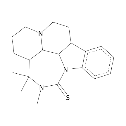 CN1C(=S)N2c3ccccc3C3CCN4CCCC(C4C32)C1(C)C